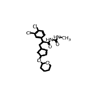 CNC(=O)NC(=O)C(CC1CCC(OC2CCCCO2)C1)c1ccc(Cl)c(Cl)c1